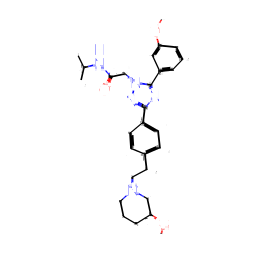 COc1cccc(-c2nc(-c3ccc(CCN4CCCC(OC)C4)cc3)nn2CC(=O)NC(C)C)c1